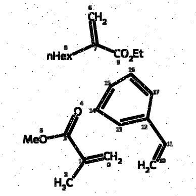 C=C(C)C(=O)OC.C=C(CCCCCC)C(=O)OCC.C=Cc1ccccc1